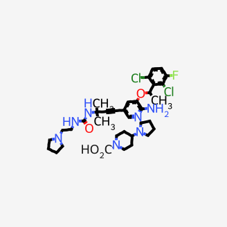 CC(Oc1cc(C#CC(C)(C)NC(=O)NCCN2CCCC2)cnc1N)c1c(Cl)ccc(F)c1Cl.O=C(O)N1CCC(N2CCCC2)CC1